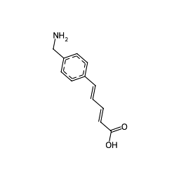 NCc1ccc(C=CC=CC(=O)O)cc1